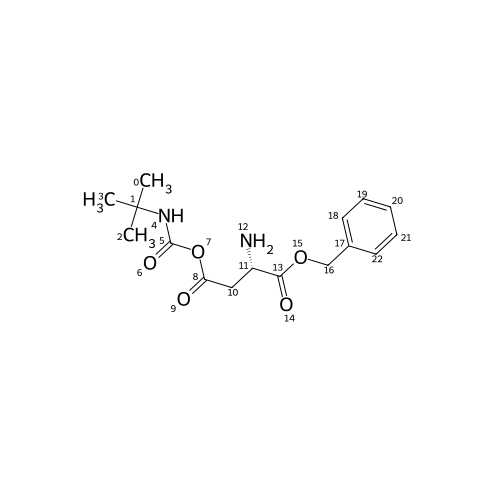 CC(C)(C)NC(=O)OC(=O)C[C@H](N)C(=O)OCc1ccccc1